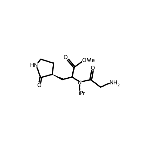 COC(=O)C(C[C@@H]1CCNC1=O)N(C(=O)CN)C(C)C